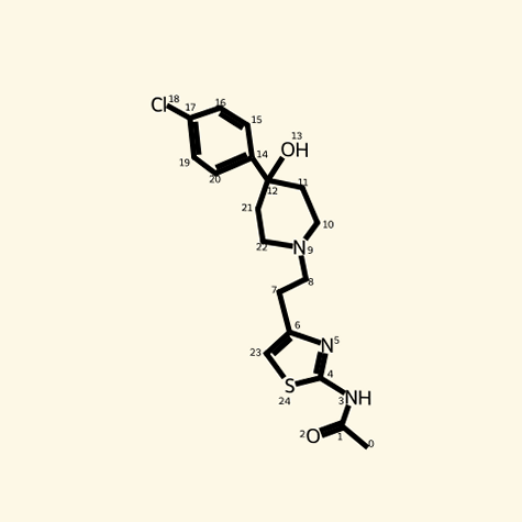 CC(=O)Nc1nc(CCN2CCC(O)(c3ccc(Cl)cc3)CC2)cs1